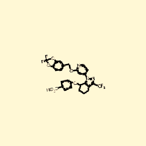 O=C(O)c1ccc(OC2CCCc3c(C(F)(F)F)nn(-c4ccnc(OCc5ccc6c(c5)OC(F)(F)O6)c4)c32)cc1